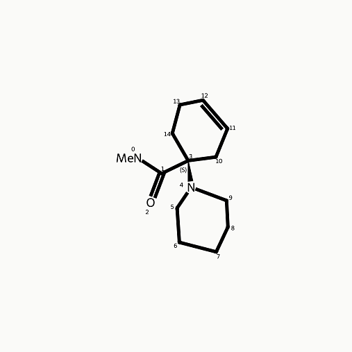 CNC(=O)[C@@]1(N2CCCCC2)CC=CCC1